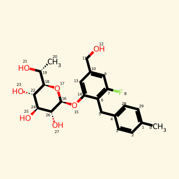 Cc1ccc(Cc2c(F)cc(CO)cc2O[C@@H]2O[C@H]([C@@H](C)O)[C@@H](O)[C@H](O)[C@H]2O)cc1